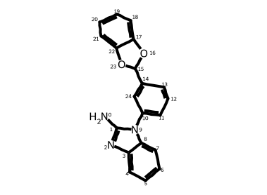 Nc1nc2ccccc2n1-c1cccc(C2Oc3ccccc3O2)c1